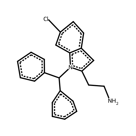 NCCc1cc2ccc(Cl)cc2n1C(c1ccccc1)c1ccccc1